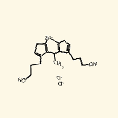 CC1C2=[C](CC=C2CCCO)[Zr+2][C]2=C1C(CCCO)=CC2.[Cl-].[Cl-]